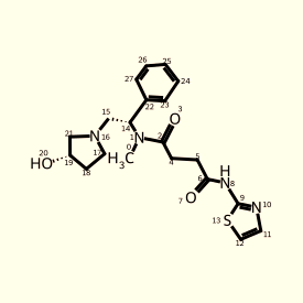 CN(C(=O)CCC(=O)Nc1nccs1)[C@H](CN1CC[C@H](O)C1)c1ccccc1